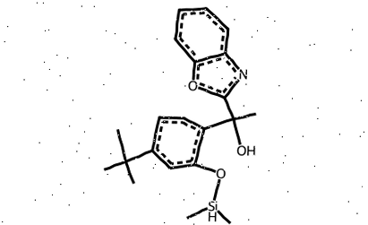 C[SiH](C)Oc1cc(C(C)(C)C)ccc1C(C)(O)c1nc2ccccc2o1